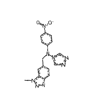 Cn1nnc2ccc(CN(c3ccc([N+](=O)[O-])cc3)n3cnnc3)cc21